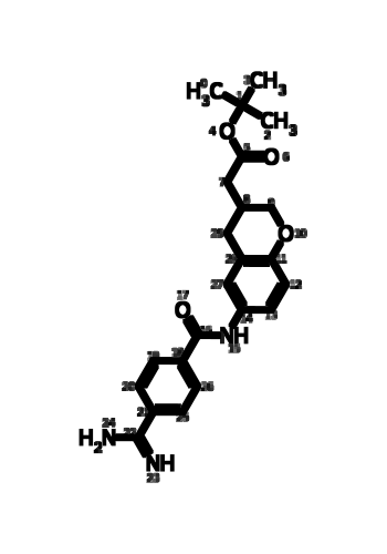 CC(C)(C)OC(=O)CC1COc2ccc(NC(=O)c3ccc(C(=N)N)cc3)cc2C1